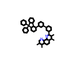 Cc1cnc2c(ccc3c(C)c(C)c(-c4cccc(-c5cccc(-c6cccc7c6-c6ccccc6C7(c6ccccc6)c6ccccc6)c5)c4)nc32)c1C